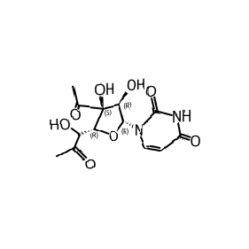 CC(=O)C(O)[C@H]1O[C@@H](n2ccc(=O)[nH]c2=O)[C@H](O)[C@@]1(O)C(C)=O